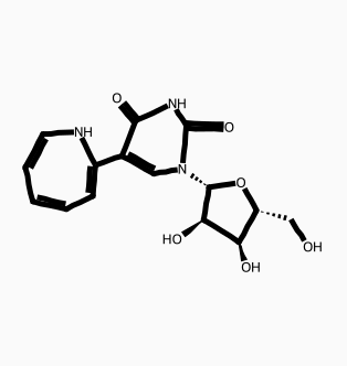 O=c1[nH]c(=O)n([C@@H]2O[C@H](CO)[C@@H](O)[C@H]2O)cc1C1=CC=CC=CN1